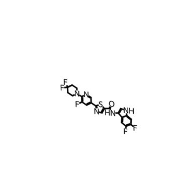 O=C(Nc1c[nH]c2cc(F)c(F)cc12)c1cnc(-c2cnc(N3CCC(F)(F)CC3)c(F)c2)s1